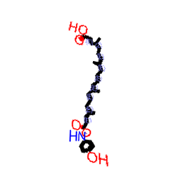 CC(=C/C=C/C(C)=C/C=C/C=C(C)/C=C/C=C(C)/C=C/C(=O)ONc1ccc(O)cc1)/C=C/C(=O)O